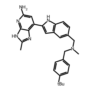 Cc1nc2c(-c3cc4cc(CN(C)Cc5ccc(C(C)(C)C)cc5)ccc4[nH]3)cc(N)nc2[nH]1